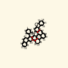 c1ccc(N(c2ccc3c(c2)oc2ccccc23)c2ccccc2-c2cccc3cccc(C4CCCCC4)c23)c(-c2cccc3c2ccc2ccccc23)c1